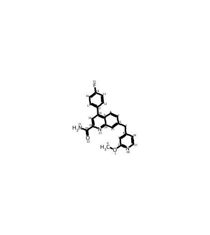 COc1cc(Cc2ccc3c(-c4ccc(F)cc4)cc(C(N)=O)nc3c2)ccn1